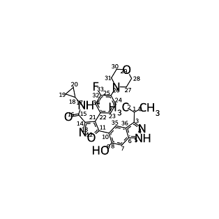 CC(C)c1n[nH]c2cc(O)c(-c3onc(C(=O)NC4CC4)c3-c3ccc(N4CCOCC4)c(F)c3)cc12